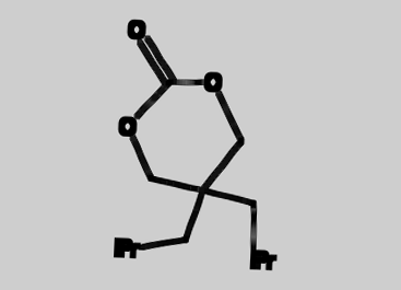 CC(C)CC1(CC(C)C)COC(=O)OC1